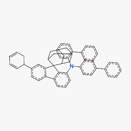 C1=CCC(c2ccc3c(c2)C2(c4c-3cccc4N(c3ccc(-c4ccccc4)cc3)c3ccccc3-c3ccccc3)C3CC4CC(C3)CC2C4)C=C1